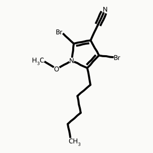 CCCCCc1c(Br)c(C#N)c(Br)n1OC